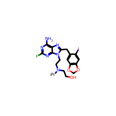 CC(C)N(CCO)CCn1c(Cc2cc3c(cc2I)OCO3)nc2c(N)nc(F)nc21